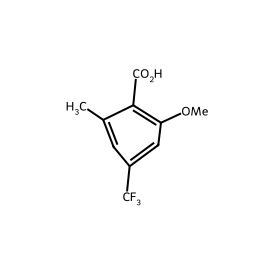 COc1cc(C(F)(F)F)cc(C)c1C(=O)O